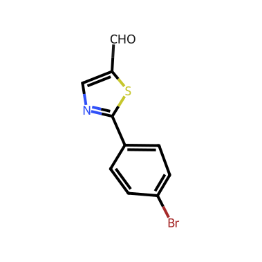 O=Cc1cnc(-c2ccc(Br)cc2)s1